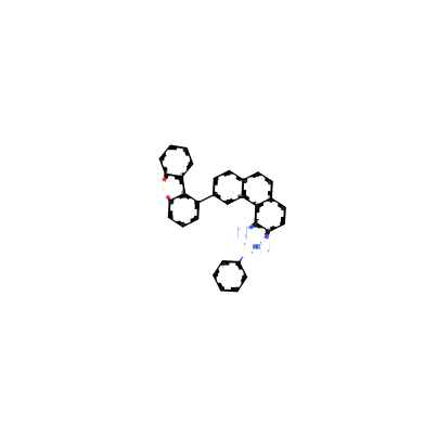 c1ccc(-n2nc3ccc4ccc5ccc(-c6cccc7oc8ccccc8c67)cc5c4c3n2)cc1